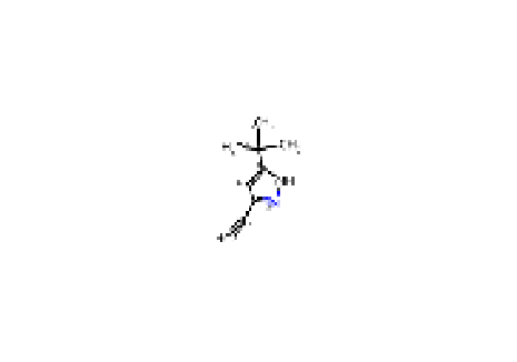 C#CC1=NBC(C(C)(C)C)=C1